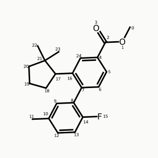 COC(=O)c1ccc(-c2cc(C)ccc2F)c(C2CCCC2(C)C)c1